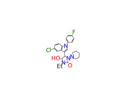 CCN1C(=O)N(N2CCCCC2)C(c2cn(-c3ccc(F)cc3)c3ccc(Cl)cc23)C1O